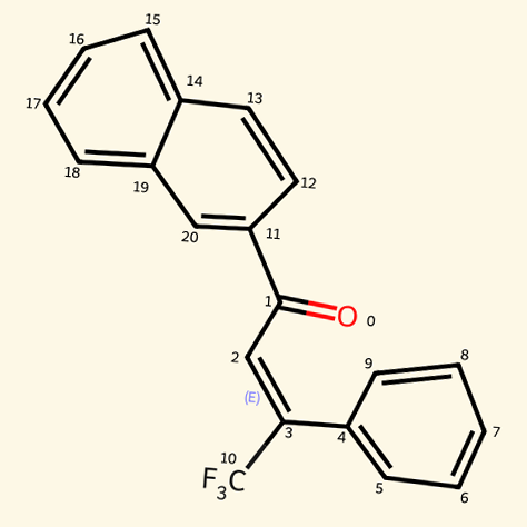 O=C(/C=C(\c1ccccc1)C(F)(F)F)c1ccc2ccccc2c1